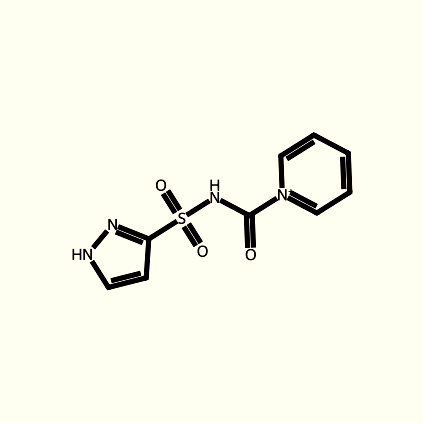 O=C(NS(=O)(=O)c1cc[nH]n1)[n+]1ccccc1